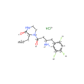 COCC1C(=O)NCCN1C(=O)CC(N)Cc1cc(F)c(F)cc1F.Cl